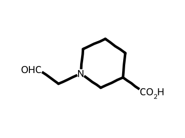 O=CCN1CCCC(C(=O)O)C1